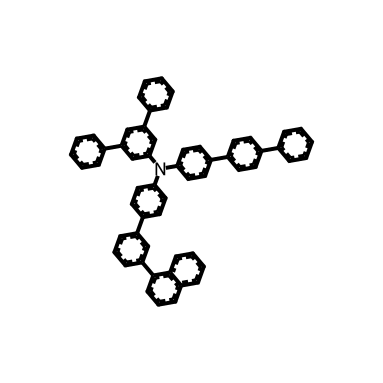 c1ccc(-c2ccc(-c3ccc(N(c4ccc(-c5cccc(-c6cccc7ccccc67)c5)cc4)c4cc(-c5ccccc5)cc(-c5ccccc5)c4)cc3)cc2)cc1